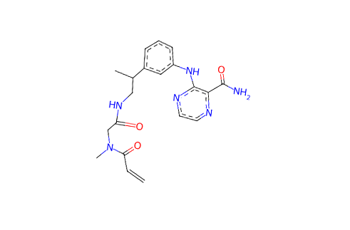 C=CC(=O)N(C)CC(=O)NCC(C)c1cccc(Nc2nccnc2C(N)=O)c1